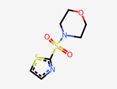 O=S(=O)(c1nccs1)N1CCOCC1